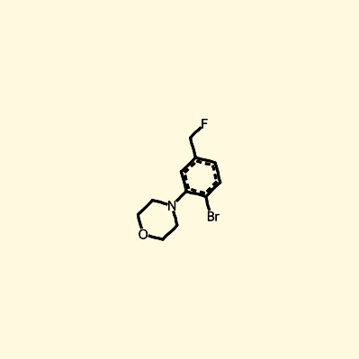 FCc1ccc(Br)c(N2CCOCC2)c1